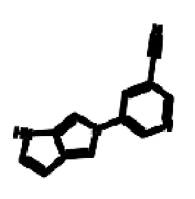 N#Cc1cncc(-n2cc3cc[nH]c3c2)c1